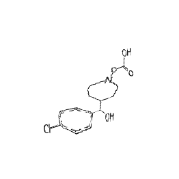 O=C(O)ON1CCC(C(O)c2ccc(Cl)cc2)CC1